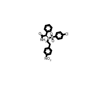 NC(=O)[C@@H](c1ccccc1)N(CCc1ccc([N+](=O)[O-])cc1)S(=O)(=O)c1ccc(Cl)cc1